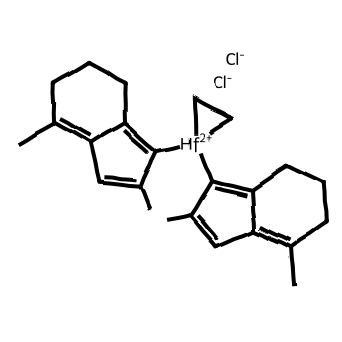 CC1=CC2=C(C)CCCC2=[C]1[Hf+2]1([C]2=C3CCCC(C)=C3C=C2C)[CH2][CH2]1.[Cl-].[Cl-]